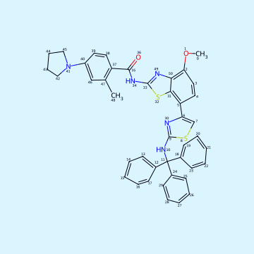 COc1ccc(-c2csc(NC(c3ccccc3)(c3ccccc3)c3ccccc3)n2)c2sc(NC(=O)c3ccc(N4CCCC4)cc3C)nc12